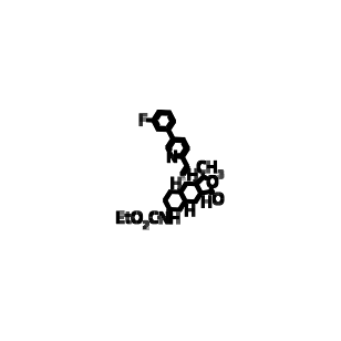 CCOC(=O)N[C@H]1CC[C@H]2[C@@H](C1)C[C@@H]1C(=O)O[C@H](C)[C@H]1[C@H]2/C=C/c1ccc(-c2cccc(F)c2)cn1